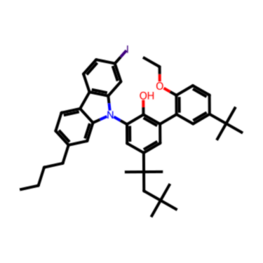 CCCCc1ccc2c3ccc(I)cc3n(-c3cc(C(C)(C)CC(C)(C)C)cc(-c4cc(C(C)(C)C)ccc4OCC)c3O)c2c1